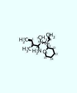 C=CC(C)C(N)N(C)N(C=C)C1CCCCO1